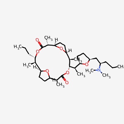 CCC[C@H](C[C@@H]1CC[C@H]([C@@H](C)[C@@H]2OC(=O)[C@@H](C)[C@H]3CC[C@H](O3)[C@@H](C)[C@H](CCC)OC(=O)[C@H](C)[C@H]3CC[C@H](O3)[C@H]2C)O1)N(C)C